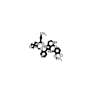 CC#CC(=O)N1CC2(COC2)[C@@H]1COc1cnccc1-c1[nH]c2c(c1Nc1cccc(Cl)c1OC)C(=O)NCC2